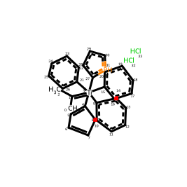 C[C](C)=[Ti]([C]1=CC=CC1)([c]1ccccc1)([c]1ccccc1)([c]1ccccc1)[c]1ccc[pH]1.Cl.Cl